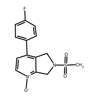 CS(=O)(=O)N1Cc2c(-c3ccc(F)cc3)cc[n+]([O-])c2C1